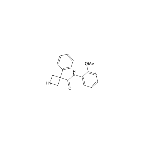 COc1ncccc1NC(=O)C1(c2ccccc2)CNC1